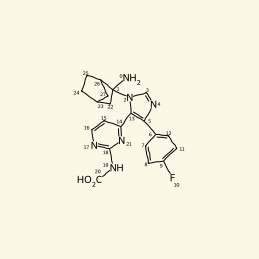 NC1(n2cnc(-c3ccc(F)cc3)c2-c2ccnc(NC(=O)O)n2)CC2CCC1C2